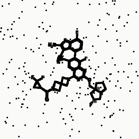 N#Cc1c(N)sc2c(F)ccc(-c3c(Cl)cc4c(N5CC6(CN(C(=O)C7CC7(F)F)C6)C5)nc(OC[C@@]56CCCN5C[C@H](F)C6)nc4c3F)c12